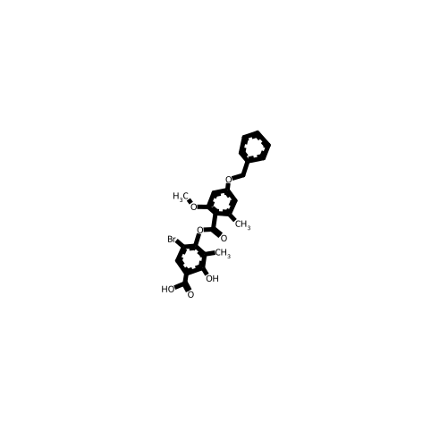 COc1cc(OCc2ccccc2)cc(C)c1C(=O)Oc1c(Br)cc(C(=O)O)c(O)c1C